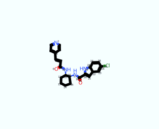 O=C(/C=C/c1ccncc1)N[C@@H]1CCCC[C@@H]1NC(=O)C1=CC2C=C(Cl)C=CC2N1